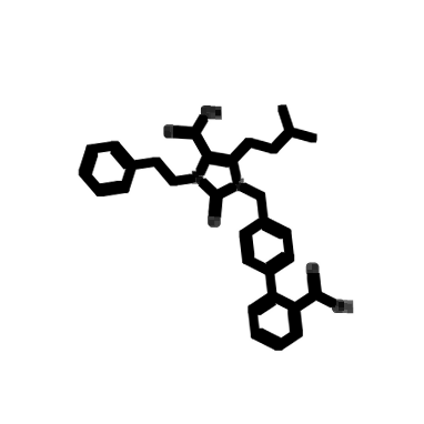 CC(C)CCc1c(C(=O)O)n(CCc2ccccc2)c(=O)n1Cc1ccc(-c2ccccc2C(=O)O)cc1